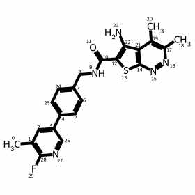 Cc1cc(-c2ccc(CNC(=O)c3sc4nnc(C)c(C)c4c3N)cc2)cnc1F